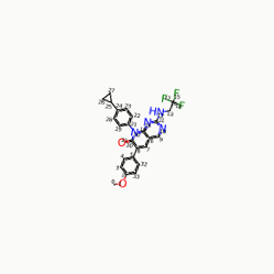 COc1ccc(-c2cc3cnc(NCC(F)(F)F)nc3n(-c3ccc(C4CC4)cc3)c2=O)cc1